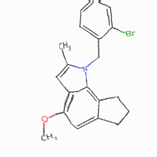 COc1cc2c(c3c1cc(C)n3Cc1ccccc1Br)CCC2